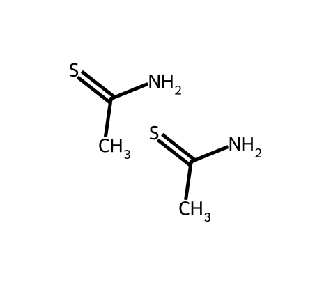 CC(N)=S.CC(N)=S